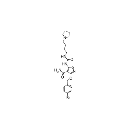 NC(=O)c1c(OCc2ccc(Br)cn2)nsc1NC(=O)NCCCCN1CCCC1